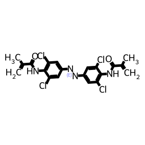 C=C(C)C(=O)Nc1c(Cl)cc(/N=N/c2cc(Cl)c(NC(=O)C(=C)C)c(Cl)c2)cc1Cl